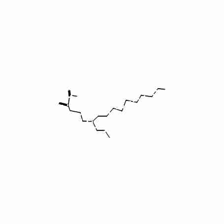 C=C(CCCC(CCC)CCCCCCCCCC)C(=O)O